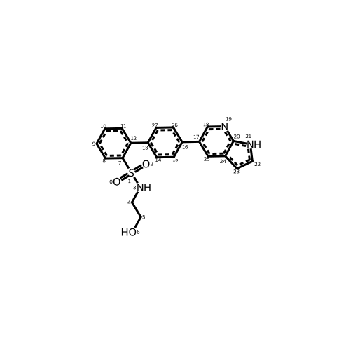 O=S(=O)(NCCO)c1ccccc1-c1ccc(-c2cnc3[nH]ccc3c2)cc1